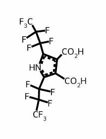 O=C(O)c1c(C(F)(F)C(F)(F)C(F)(F)F)[nH]c(C(F)(F)C(F)(F)C(F)(F)F)c1C(=O)O